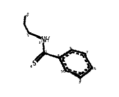 CCNC(=S)c1cc[c]cc1